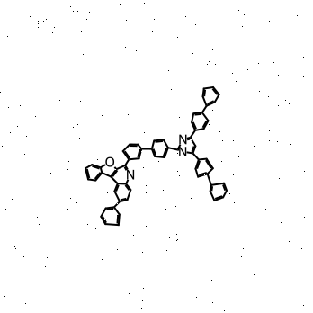 c1ccc(-c2ccc(-c3cc(-c4ccc(-c5ccccc5)cc4)nc(-c4ccc(-c5cccc(-c6nc7ccc(-c8ccccc8)cc7c7c6oc6ccccc67)c5)cc4)n3)cc2)cc1